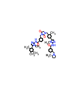 Cc1cc(C)c(-c2cnc(NC(=O)c3cccc(CN4C(=O)CN(Cc5ccc(-c6cnc(NC(=O)c7cccc(CN8CCC[C@@H]8C)c7)n6C)cc5C)C4=O)c3)n2C)cc1C